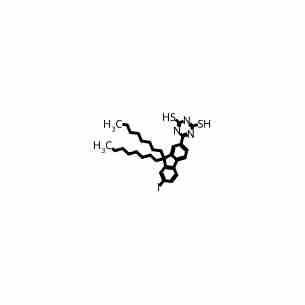 CCCCCCCCC1(CCCCCCCC)c2cc(I)ccc2-c2ccc(-c3nc(S)nc(S)n3)cc21